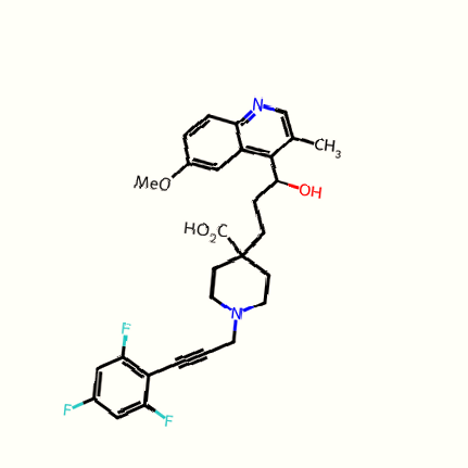 COc1ccc2ncc(C)c(C(O)CCC3(C(=O)O)CCN(CC#Cc4c(F)cc(F)cc4F)CC3)c2c1